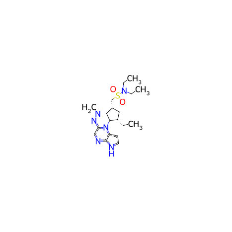 C=N/N=c1/cnc2[nH]ccc2n1C1C[C@H](CS(=O)(=O)N(CC)CC)C[C@@H]1CC